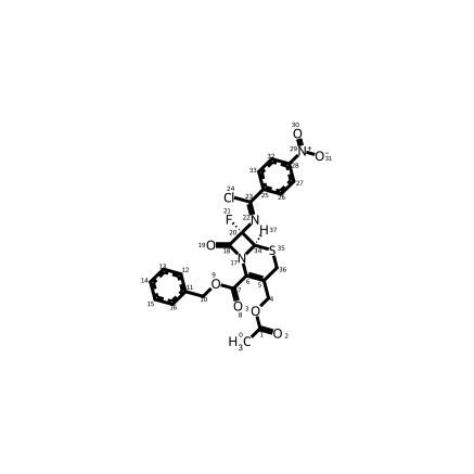 CC(=O)OCC1=C(C(=O)OCc2ccccc2)N2C(=O)[C@@](F)(N=C(Cl)c3ccc([N+](=O)[O-])cc3)[C@H]2SC1